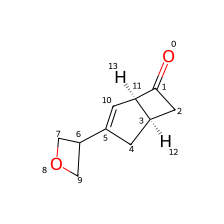 O=C1C[C@H]2CC(C3COC3)=C[C@@H]12